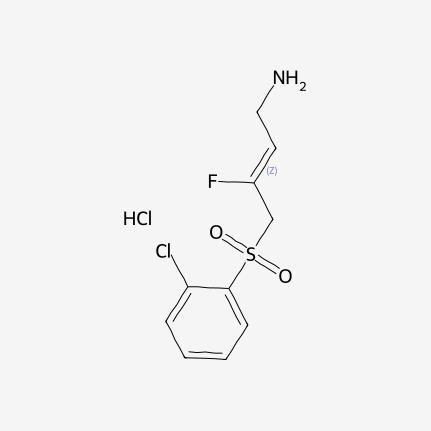 Cl.NC/C=C(\F)CS(=O)(=O)c1ccccc1Cl